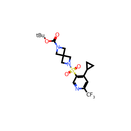 CC(C)(C)OC(=O)N1CC2(C1)CN(S(=O)(=O)c1cnc(C(F)(F)F)cc1C1CC1)C2